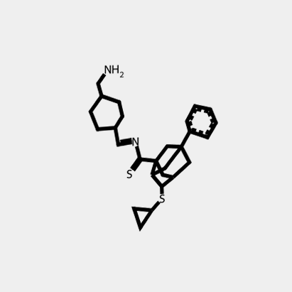 NCC1CCC(/C=N/C(=S)C23CC4CC(c5ccccc5)(CC2C4SC2CC2)C3)CC1